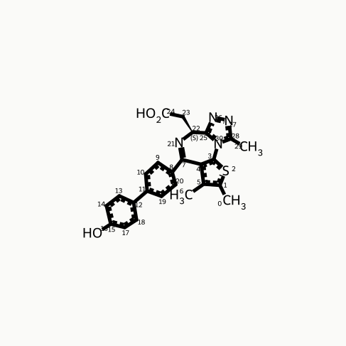 Cc1sc2c(c1C)C(c1ccc(-c3ccc(O)cc3)cc1)=N[C@@H](CC(=O)O)c1nnc(C)n1-2